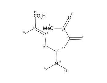 C=C(C)C(=O)OC.CC(=CCCN(C)C)C(=O)O